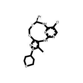 Cc1c2c(nn1C1CCOCC1)OCC[C@@H](C(C)C)Nc1nc(ncc1Cl)N2